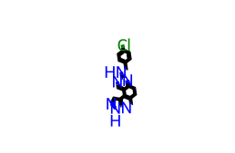 Clc1ccc(CNc2ncc3c(n2)CCc2cnc4[nH]ncc4c2-3)cc1